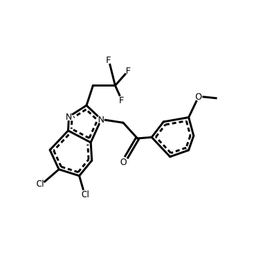 COc1cccc(C(=O)Cn2c(CC(F)(F)F)nc3cc(Cl)c(Cl)cc32)c1